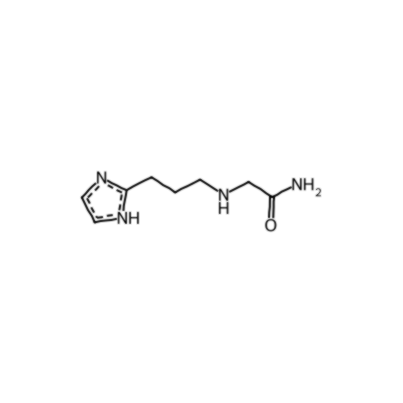 NC(=O)CNCCCc1ncc[nH]1